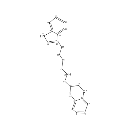 c1ccc2c(c1)OCC(CNCCCCc1c[nH]c3ccccc13)O2